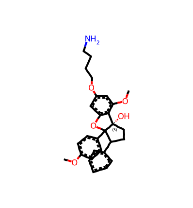 COc1ccc(C23Oc4cc(OCCCCN)cc(OC)c4[C@@]2(O)CCC3c2ccccc2)cc1